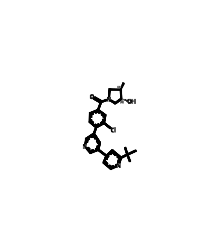 C[C@@H]1CN(C(=O)c2ccc(-c3cncc(-c4ccnc(C(C)(C)C)c4)c3)c(Cl)c2)C[C@H]1O